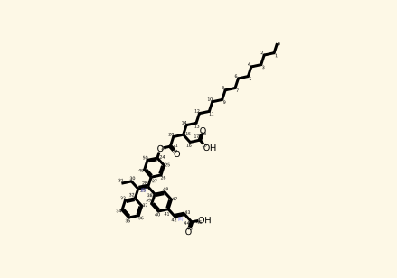 CCCCCCCCCCCCCCCC(CC(=O)O)CC(=O)Oc1ccc(/C(=C(\CC)c2ccccc2)c2ccc(/C=C/C(=O)O)cc2)cc1